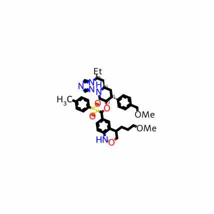 CC[C@H](C[C@H]1C[C@H](c2ccc(COC)cc2)[C@@H](OC(c2ccc3c(c2)C(CCCOC)CON3)S(=O)(=O)c2ccc(C)cc2)CN1)n1cncn1